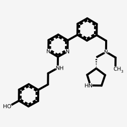 CCN(Cc1cccc(-c2ccnc(NCCc3ccc(O)cc3)n2)c1)C[C@@H]1CCNC1